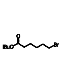 CC(C)COC(=O)CCCCCBr